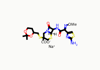 CON=C(C(=O)NC1C(=O)N2CC(SCC3CCOC(C)(C)O3)(C(=O)[O-])CS[C@H]12)c1csc(N)n1.[Na+]